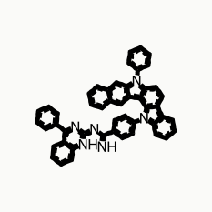 N=C(/N=c1/nc(-c2ccccc2)c2ccccc2[nH]1)c1ccc(-n2c3ccccc3c3ccc4c(c5cc6ccccc6cc5n4-c4ccccc4)c32)cc1